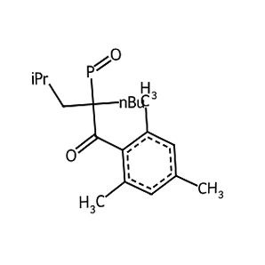 CCCCC(CC(C)C)(P=O)C(=O)c1c(C)cc(C)cc1C